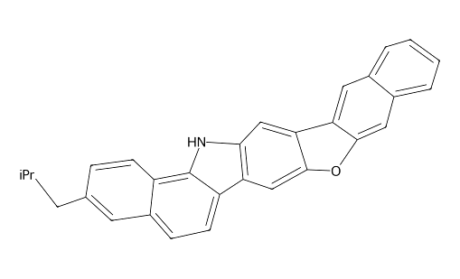 CC(C)Cc1ccc2c(ccc3c4cc5oc6cc7ccccc7cc6c5cc4[nH]c23)c1